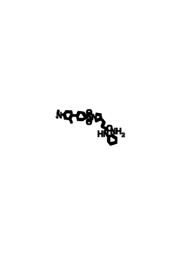 Cc1cc(N(C)C)ccc1-c1ccc(S(=O)(=O)n2ccc(C=CC(=O)Nc3ccccc3N)c2)cc1